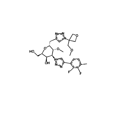 COCC1(n2cc(C[C@H]3O[C@H](CO)[C@H](O)[C@H](n4cc(-c5ccc(C)c(F)c5F)nn4)[C@H]3OC)nn2)COC1